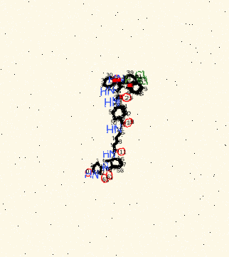 O=C1CCC(N2Cc3c(NC(=O)CCCCNC(=O)c4ccc(NC(=O)[C@@H]5NC6(CCCCC6)[C@@]6(C(=O)Nc7cc(Cl)ccc76)[C@H]5c5cccc(Cl)c5F)cc4)cccc3C2=O)C(=O)N1